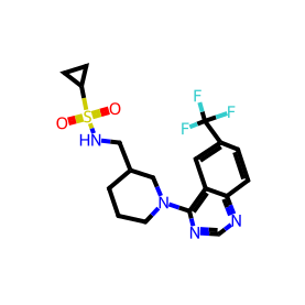 O=S(=O)(NCC1CCCN(c2ncnc3ccc(C(F)(F)F)cc23)C1)C1CC1